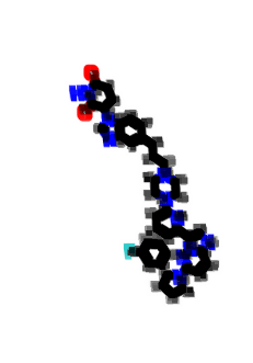 O=C1CCC(n2cnc3cc(CCCN4CCN(c5cccc(-c6cnc7ccc(N8CCC[C@@H]8c8cccc(F)c8)nn67)n5)CC4)ccc32)C(=O)N1